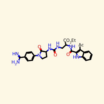 CCOC(=O)C(CNC(=O)NC1CCN(c2ccc(C(=N)N)cc2)C1=O)NC(=O)c1[nH]c2ccccc2c1C(C)=O